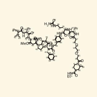 CCNC(=O)C1CCN(C(=O)CCOCCOCCC(=O)N[C@H](C(=O)N[C@@H](CCCNC(N)=O)C(=O)Nc2ccc(CNC(=O)[C@H](Cc3ccccc3)NC(=O)[C@H](C)[C@@H](OC)[C@@H]3CCCN3C(=O)C[C@@H](OC)[C@H]([C@@H](C)CC)N(C)C(=O)[C@@H](NC(=O)[C@H](C(C)C)N(C)C)C(C)C)cc2)C(C)C)C(C)C1